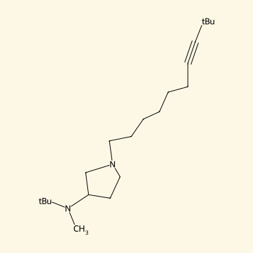 CN(C1CCN(CCCCCCC#CC(C)(C)C)C1)C(C)(C)C